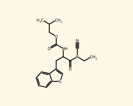 CCN(C#N)C(=O)C(Cc1csc2ccccc12)NC(=O)OCC(C)C